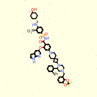 CC(C)c1ccccc1C1CN(Cc2cccc3c2OC(F)(F)O3)CCN1C1CC2(CCN(c3ccc(C(=O)NS(=O)(=O)c4ccc(NC[C@H]5CC[C@](C)(O)CC5)c([N+](=O)[O-])c4)c(Oc4cnc5[nH]ccc5c4)c3)CC2)C1